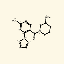 CNC1CCCN(C(=O)c2ccc(C)cc2-n2nccn2)C1